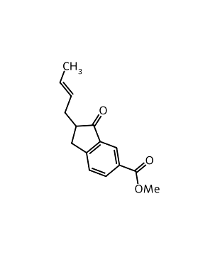 C/C=C/CC1Cc2ccc(C(=O)OC)cc2C1=O